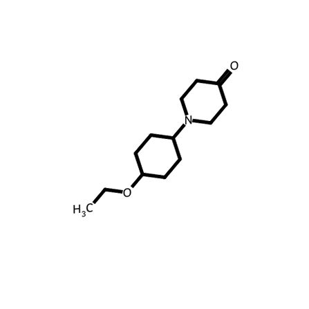 CCOC1CCC(N2CCC(=O)CC2)CC1